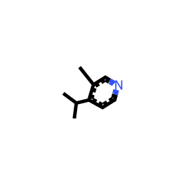 Cc1cnccc1C(C)C